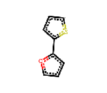 [c]1ccc(-c2ccco2)s1